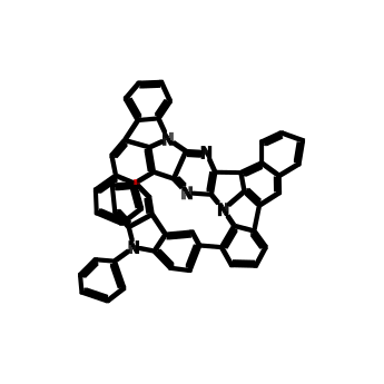 c1ccc(-n2c3ccccc3c3cc(-c4cccc5c6cc7ccccc7c7c8nc9c(nc8n(c45)c67)c4c5ccccc5cc5c6ccccc6n9c54)ccc32)cc1